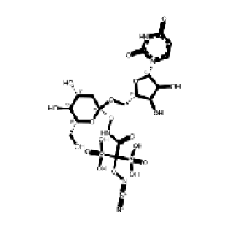 [N-]=[N+]=NOC(C(=O)NO[C@@]1(OC[C@@H]2O[C@H](n3ccc(=O)[nH]c3=O)C(O)C2O)C[C@@H](O)[C@H](O)[C@@H](CO)O1)(P(=O)(O)O)P(=O)(O)O